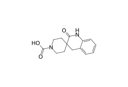 O=C(O)N1CCC2(CC1)Cc1ccccc1NC2=O